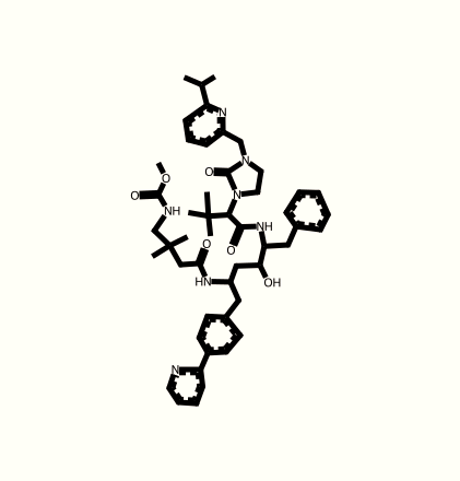 COC(=O)NCC(C)(C)CC(=O)NC(Cc1ccc(-c2ccccn2)cc1)CC(O)C(Cc1ccccc1)NC(=O)C(N1CCN(Cc2cccc(C(C)C)n2)C1=O)C(C)(C)C